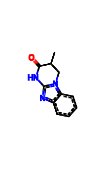 CC1Cn2c(nc3ccccc32)NC1=O